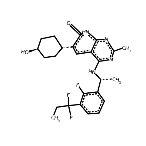 CCC(F)(F)c1cccc([C@@H](C)Nc2nc(C)nc3[nH]c(=O)c([C@H]4CC[C@H](O)CC4)cc23)c1F